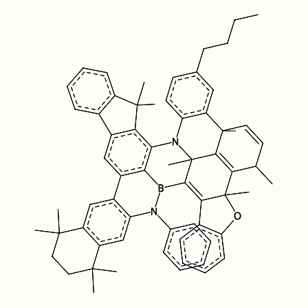 CCCCc1ccc2c(c1)C1(C)C=CC(C)C3=C1C1(C)C(=C4c5ccccc5OC43C)B3c4c(cc5c(c4N21)C(C)(C)c1ccccc1-5)-c1cc2c(cc1N3c1ccccc1)C(C)(C)CCC2(C)C